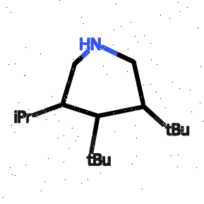 CC(C)C1CNCC(C(C)(C)C)C1C(C)(C)C